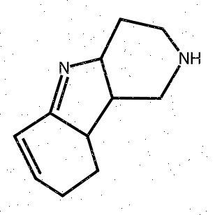 C1=CC2=NC3CCNCC3C2CC1